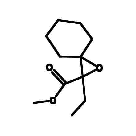 CCC1(C(=O)OC)OC12CCCCC2